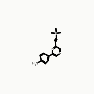 CS(C)(C)C#Cc1cncc(-c2ccc(N)cc2)n1